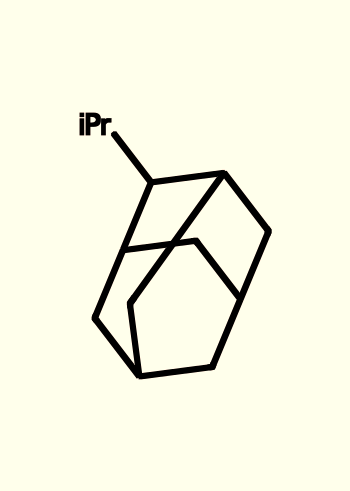 CC(C)C1C2CC3CC(C2)CC1C3